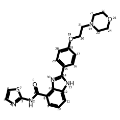 O=C(Nc1nccs1)c1cccc2[nH]c(-c3ccc(OCCN4CCOCC4)cc3)nc12